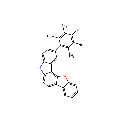 Bc1c(B)c(B)c(-c2ccc3[nH]c4ccc5c6ccccc6oc5c4c3c2)c(B)c1B